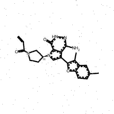 C=CC(=O)N1CC[C@H](n2cc(-c3oc4ccc(C)cc4c3C)c3c(N)n[nH]c(=O)c32)C1